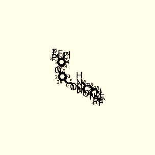 O=c1nc(OCCc2ccc(Oc3ccc(Cl)c(C(F)(F)F)c3)cc2)[nH]cc1Cc1cnc(C(F)(F)F)nc1